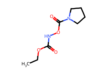 CCOC(=O)NOC(=O)N1CCCC1